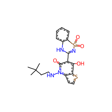 CC(C)(C)CCNn1c(=O)c(C2=NS(=O)(=O)c3ccccc3N2)c(O)c2sccc21